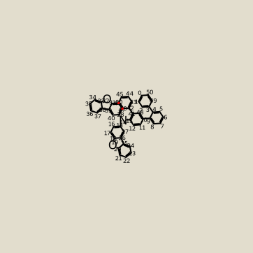 c1ccc(-c2ccccc2-c2ccc(N(c3ccc4oc5ccccc5c4c3)c3ccc4oc5ccccc5c4c3)c(-c3ccccc3)c2)cc1